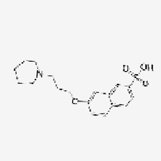 O=S(=O)(O)c1ccc2ccc(OCCCN3CCCCC3)cc2c1